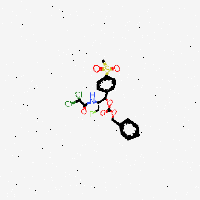 CS(=O)(=O)c1ccc([C@@H](OC(=O)OCc2ccccc2)[C@@H](CF)NC(=O)C(Cl)Cl)cc1